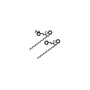 CCCCCCCCCCCCCC(=Cc1ccccc1)C(=O)C=Cc1ccccc1.CCCCCCCCCCCCCC(=Cc1ccccc1)C(=O)C=Cc1ccccc1.[Pd]